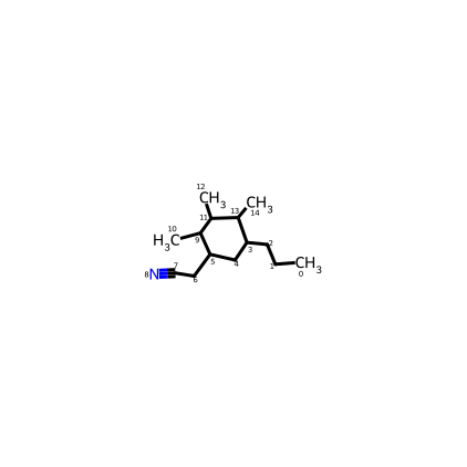 CCCC1CC(CC#N)C(C)C(C)C1C